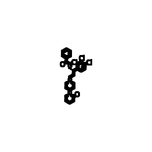 CN(C[C@@H](CCN1CCC(N2CCCCC2=O)CC1)c1ccc(Cl)c(Cl)c1)C(=O)c1ccccc1